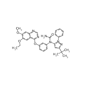 CCOc1cc2c(Oc3cccc(N(C(N)=O)c4cc(C(C)(C)C)nn4-c4ccccc4)c3)ncnc2cc1OC